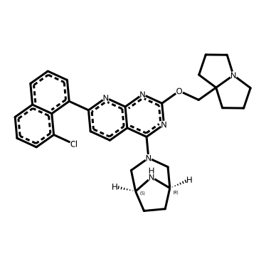 Clc1cccc2cccc(-c3ccc4c(N5C[C@H]6CC[C@@H](C5)N6)nc(OCC56CCCN5CCC6)nc4n3)c12